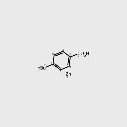 CCCCc1ccc(C(=O)O)cc1.[Zn]